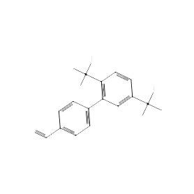 O=Cc1ccc(-c2cc(C(F)(F)F)ccc2C(F)(F)F)cc1